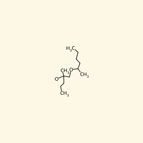 CCCCC(C)OCC(C)([O])CCC